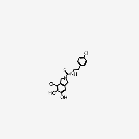 Oc1cc2c(c(Cl)c1O)CN(C(=S)NCCc1ccc(Cl)cc1)C2